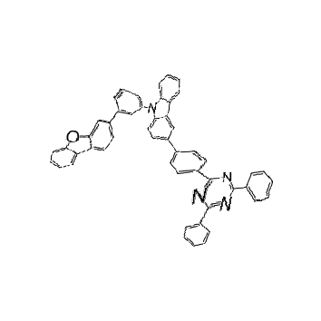 c1ccc(-c2nc(-c3ccccc3)nc(-c3ccc(-c4ccc5c(c4)c4ccccc4n5-c4cccc(-c5ccc6c(c5)oc5ccccc56)c4)cc3)n2)cc1